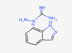 N=C(N)NN.c1ccc2[nH]ncc2c1